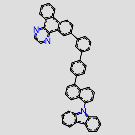 c1cc(-c2ccc(-c3cccc4c(-n5c6ccccc6c6ccccc65)cccc34)cc2)cc(-c2ccc3c4ccccc4c4nccnc4c3c2)c1